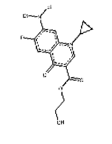 CCN(CC)c1cc2c(cc1F)c(=O)c(C(=O)OCCO)cn2C1CC1